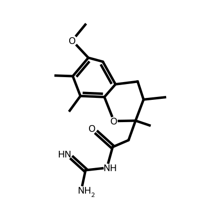 COc1cc2c(c(C)c1C)OC(C)(CC(=O)NC(=N)N)C(C)C2